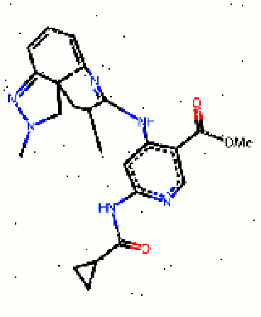 COC(=O)c1cnc(NC(=O)C2CC2)cc1NC1=NC2=CC=CC3=NN(C)CC23CC1C